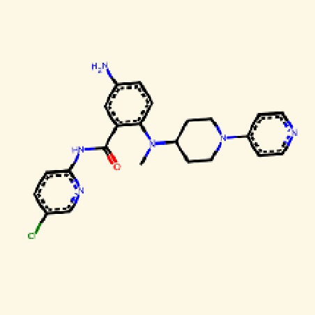 CN(c1ccc(N)cc1C(=O)Nc1ccc(Cl)cn1)C1CCN(c2ccncc2)CC1